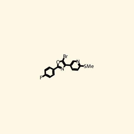 CSc1ccc(-c2nc(-c3ccc(F)cc3)oc2Br)cn1